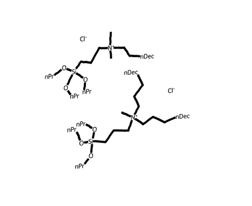 CCCCCCCCCCCCC[N+](C)(CCCCCCCCCCCCC)CCC[Si](OCCC)(OCCC)OCCC.CCCCCCCCCCCC[N+](C)(C)CCC[Si](OCCC)(OCCC)OCCC.[Cl-].[Cl-]